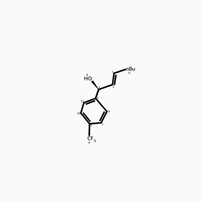 CCCC/C=C/[C@H](O)c1ccc(C(F)(F)F)cc1